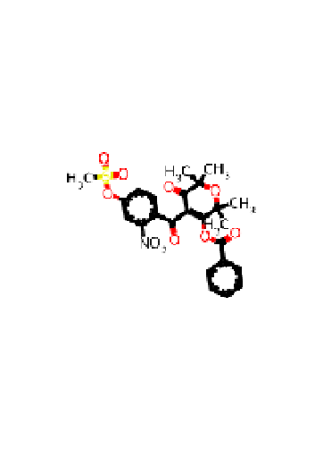 CC1(C)OC(C)(C)C(OC(=O)c2ccccc2)=C(C(=O)c2ccc(OS(C)(=O)=O)cc2[N+](=O)[O-])C1=O